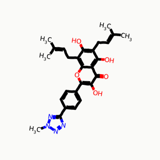 CC(C)=CCc1c(O)c(CC=C(C)C)c2oc(-c3ccc(-c4nnn(C)n4)cc3)c(O)c(=O)c2c1O